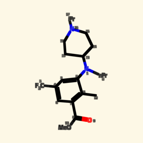 CCCN(c1cc(C(F)(F)F)cc(C(=O)OC)c1C)C1CCN(C(C)C)CC1